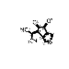 N#CC(C#N)=C1C(=O)C(=O)c2cscc21